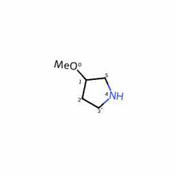 COC1C[CH]NC1